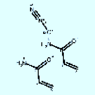 C=CC(N)=O.C=CC(N)=O.N#[N+][O-]